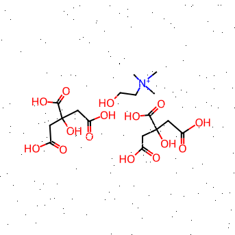 C[N+](C)(C)CCO.O=C(O)CC(O)(CC(=O)O)C(=O)O.O=C(O)CC(O)(CC(=O)O)C(=O)O